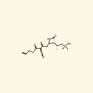 C=CCOC(=O)C(=[N+]=[N-])C(=O)C[C@H]1NC(=O)[C@@H]1[C@@H](C)O[Si](C)(C)C(C)(C)C